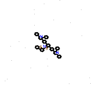 c1ccc(-c2ccc(-c3ccc(-c4ccc(-c5ccc(-c6ccc(-c7ccccc7)nc6-c6ccccc6)cc5)c5sc(-c6cccc7c6sc6ccccc67)nc45)cc3)c(-c3ccccc3)n2)cc1